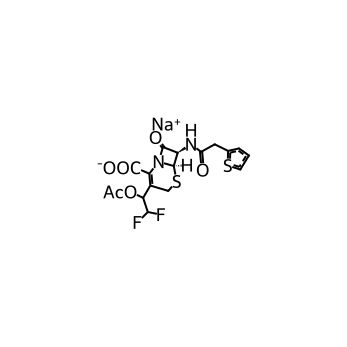 CC(=O)OC(C1=C(C(=O)[O-])N2C(=O)[C@@H](NC(=O)Cc3cccs3)[C@H]2SC1)C(F)F.[Na+]